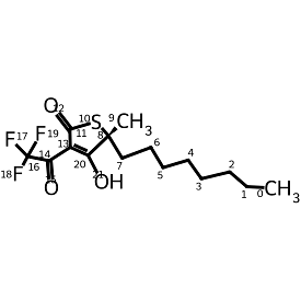 CCCCCCCC[C@@]1(C)SC(=O)C(C(=O)C(F)(F)F)=C1O